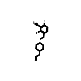 C=CC[C@H]1CC[C@H](CCc2ccc(F)c(C#N)c2F)CC1